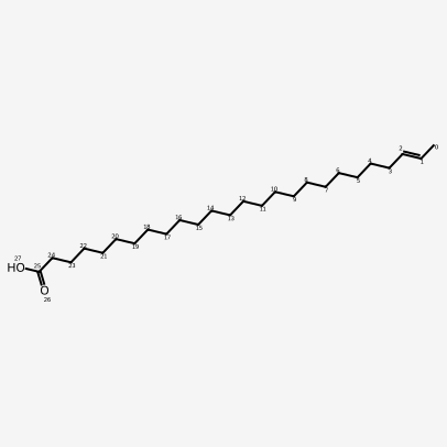 CC=CCCCCCCCCCCCCCCCCCCCCCCC(=O)O